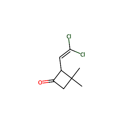 CC1(C)CC(=O)C1C=C(Cl)Cl